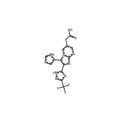 O=C(O)Cc1cnc2nc(-c3nc(C(F)(F)F)n[nH]3)c(-c3cnc[nH]3)n2c1